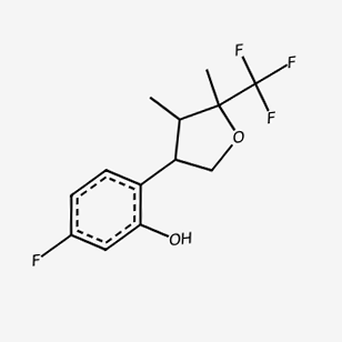 CC1C(c2ccc(F)cc2O)COC1(C)C(F)(F)F